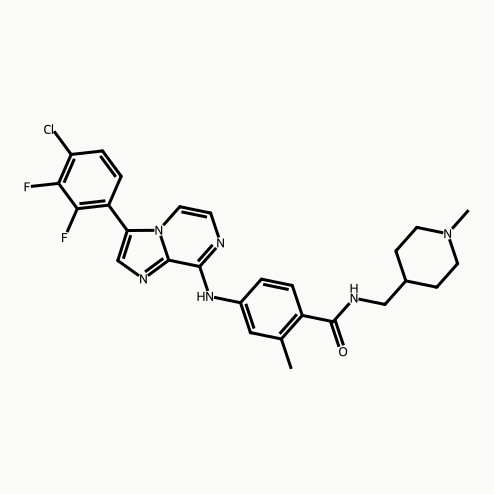 Cc1cc(Nc2nccn3c(-c4ccc(Cl)c(F)c4F)cnc23)ccc1C(=O)NCC1CCN(C)CC1